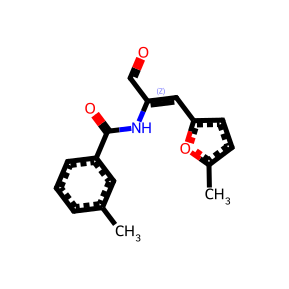 Cc1cccc(C(=O)N/C(C=O)=C\c2ccc(C)o2)c1